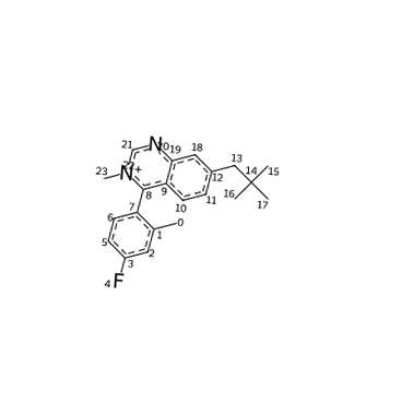 Cc1cc(F)ccc1-c1c2ccc(CC(C)(C)C)cc2nc[n+]1C